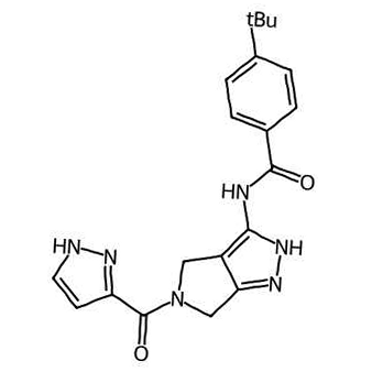 CC(C)(C)c1ccc(C(=O)Nc2[nH]nc3c2CN(C(=O)c2cc[nH]n2)C3)cc1